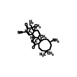 CC1(C)CCC2C(=O)C[C@@H]3[C@@]4(C)C=C(C#N)C(=O)C(C)(C)[C@@H]4CC[C@@]3(C)[C@]2(C)CC[C@@H](N)CC1